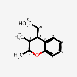 CC1Oc2ccccc2C(CC(=O)O)C1C